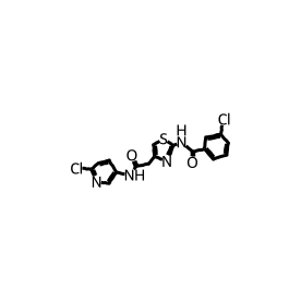 O=C(Cc1csc(NC(=O)c2cccc(Cl)c2)n1)Nc1ccc(Cl)nc1